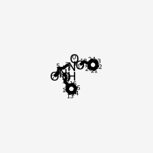 O=C(NCC1CC(=O)N1OCc1ccccc1)OCc1ccccc1